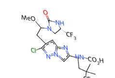 COC(Cc1cc2nc(C(CC(C)(C)C(F)(F)F)NC(=O)O)cn2nc1Cl)N1C[C@@H](C(F)(F)F)NC1=O